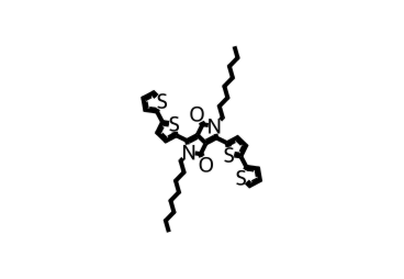 CCCCCCCCN1C(=O)C2=C(c3ccc(-c4cccs4)s3)N(CCCCCCCC)C(=O)C2=C1c1ccc(-c2cccs2)s1